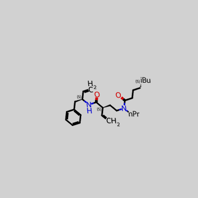 C=C[C@H](Cc1ccccc1)NC(=O)[C@H](C=C)CCN(CCC)C(=O)CCC[C@@H](C)CC